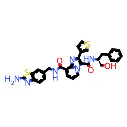 Nc1nc2ccc(CNC(=O)c3cccn4c(C(=O)N[C@H](CO)Cc5ccccc5)c(-c5ccsc5)nc34)cc2s1